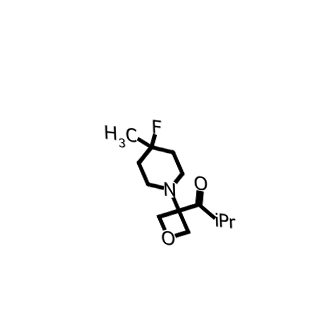 CC(C)C(=O)C1(N2CCC(C)(F)CC2)COC1